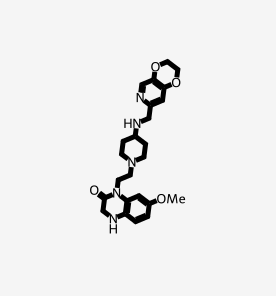 COc1ccc2c(c1)N(CCN1CCC(NCc3cc4c(cn3)OCCO4)CC1)C(=O)CN2